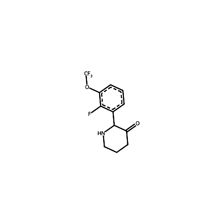 O=C1CCCNC1c1cccc(OC(F)(F)F)c1F